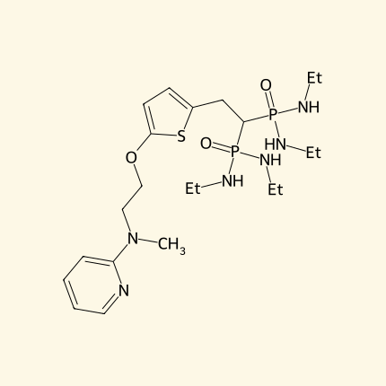 CCNP(=O)(NCC)C(Cc1ccc(OCCN(C)c2ccccn2)s1)P(=O)(NCC)NCC